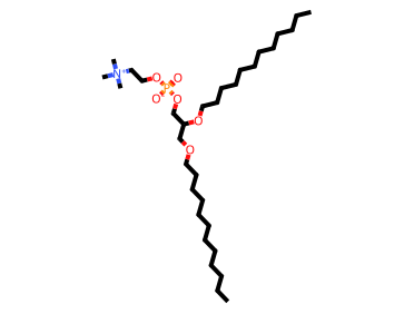 CCCCCCCCCCCCOCC(COP(=O)([O-])OCC[N+](C)(C)C)OCCCCCCCCCCCC